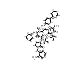 CN(C(=O)O)[C@H](C(=O)N[C@@H](Cc1ccc(-c2ccccn2)cc1)C[C@H](O)[C@H](Cc1ccccc1)NC(=O)[C@@H](N1CCN(Cc2ccccc2N)C1=O)C(C)(C)C)C(C)(C)C